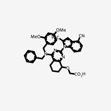 COc1ccc(CN(Cc2ccccc2)c2nc(-n3c(C)cc4c(C#N)cccc43)nc3c2CCCC3OCC(=O)O)c(OC)c1